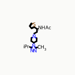 CC(=O)N[C@@H](CCN1CCC(n2c(C)nnc2C(C)C)CC1)c1cccs1